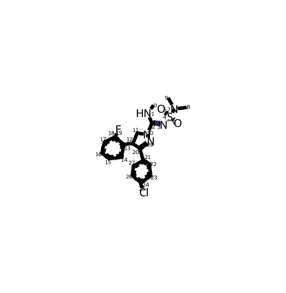 CN/C(=N\S(=O)(=O)N(C)C)N1CC(c2ccccc2F)C(c2ccc(Cl)cc2)=N1